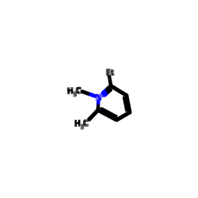 CCc1cccc(C)[n+]1C